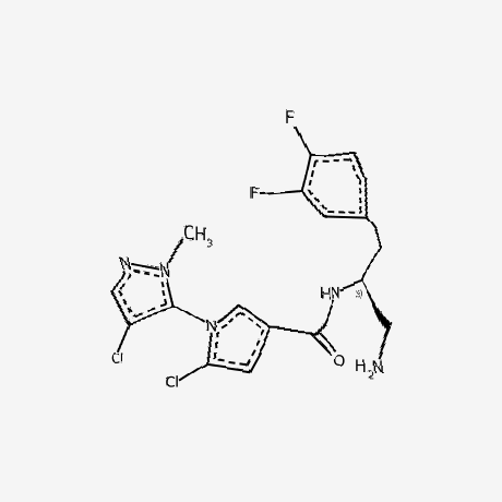 Cn1ncc(Cl)c1-n1cc(C(=O)N[C@H](CN)Cc2ccc(F)c(F)c2)cc1Cl